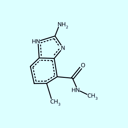 CNC(=O)c1c(C)ccc2[nH]c(N)nc12